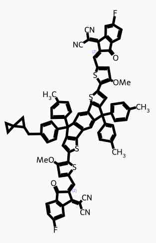 COc1cc(/C=C2\C(=O)c3ccc(F)cc3C2=C(C#N)C#N)sc1-c1cc2c(s1)-c1cc3c(cc1C2(c1ccc(C)cc1)c1ccc(C)cc1)-c1sc(-c2sc(/C=C4\C(=O)c5ccc(F)cc5C4=C(C#N)C#N)cc2OC)cc1C3(c1ccc(C)cc1)c1ccc(CC2CC23CC3)cc1